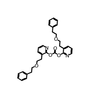 O=C(Oc1ncccc1CCOCCc1ccccc1)Oc1ncccc1CCOCCc1ccccc1